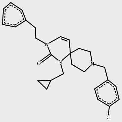 O=C1N(CCc2ccccc2)C=CC2(CCN(Cc3ccc(Cl)cc3)CC2)N1CC1CC1